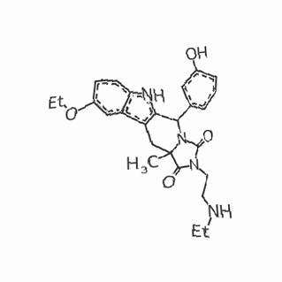 CCNCCN1C(=O)N2C(c3cccc(O)c3)c3[nH]c4ccc(OCC)cc4c3CC2(C)C1=O